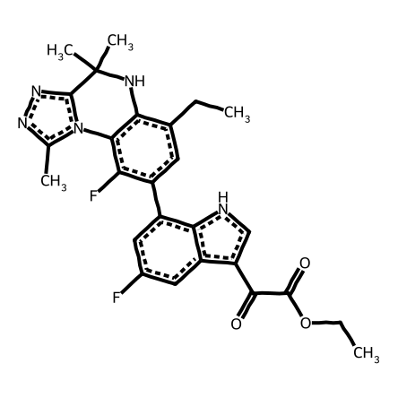 CCOC(=O)C(=O)c1c[nH]c2c(-c3cc(CC)c4c(c3F)-n3c(C)nnc3C(C)(C)N4)cc(F)cc12